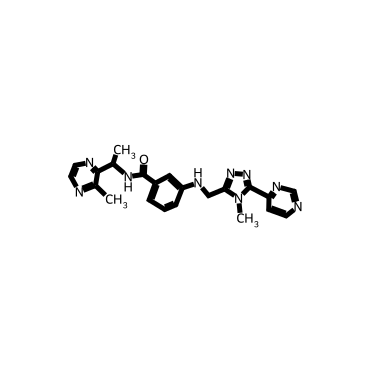 Cc1nccnc1C(C)NC(=O)c1cccc(NCc2nnc(-c3ccncn3)n2C)c1